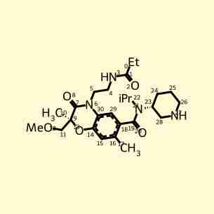 CCC(=O)NCCN1C(=O)[C@](C)(COC)Oc2cc(C)c(C(=O)N(C(C)C)[C@@H]3CCCNC3)cc21